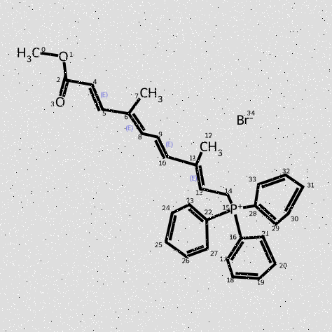 COC(=O)/C=C/C(C)=C/C=C/C(C)=C/C[P+](c1ccccc1)(c1ccccc1)c1ccccc1.[Br-]